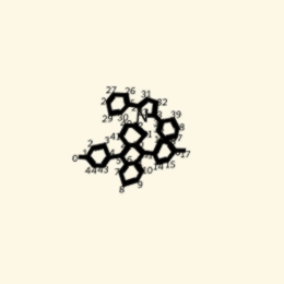 Cc1ccc(-c2c3ccccc3c(-c3ccc(C)cc3)c3cc(-n4c(-c5ccccc5)ccc4-c4ccccc4)ccc23)cc1